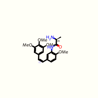 COc1ccc(/C=C\c2cc(OC)c(OC)c(OC)c2)cc1NC(=O)[C@H](C)N